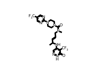 CC(/C=C/CN(C)C(=O)N1CCN(c2ncc(C(F)(F)F)cn2)CC1)Nc1cn[nH]c(=O)c1C(F)(F)F